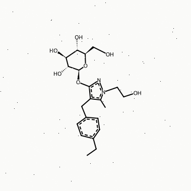 CCc1ccc(Cc2c(O[C@@H]3O[C@H](CO)[C@@H](O)[C@H](O)[C@H]3O)nn(CCO)c2C)cc1